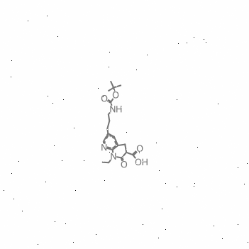 CCN1C(=O)C(C(=O)O)Cc2cc(CCCNC(=O)OC(C)(C)C)cnc21